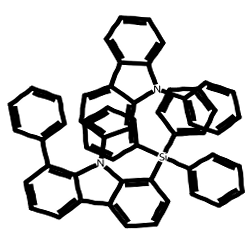 c1ccc(-c2cccc3c4cccc([Si](c5ccccc5)(c5ccccc5)c5ccccc5)c4n(-c4ccc5c6ccccc6n(-c6ccccc6)c5c4)c23)cc1